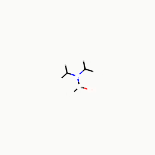 CC(C)N(C(C)C)[SiH](C)O